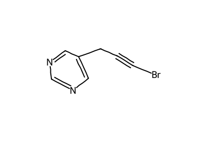 BrC#CCc1cncnc1